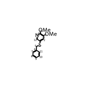 COc1cc(SCc2ccccc2)cnc1OC